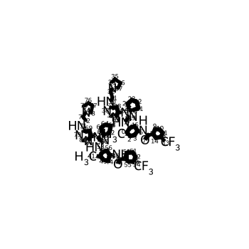 Cc1ccc(NC(=O)c2cccc(C(F)(F)F)c2)cc1Nc1nc2ccccc2n1-c1cc(NCCN2CCCC2)ncn1.Cc1ccc(NC(=O)c2cccc(C(F)(F)F)c2)cc1Nc1nc2ccccc2n1-c1cc(NCCN2CCCC2)ncn1